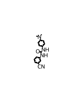 CN(C)c1ccc(NC(=O)Nc2cccc(C#N)c2)cc1